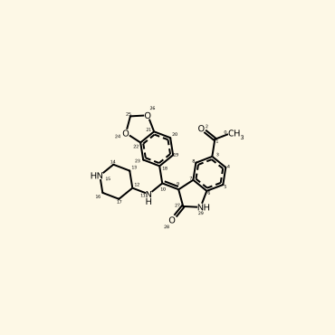 CC(=O)c1ccc2c(c1)/C(=C(/NC1CCNCC1)c1ccc3c(c1)OCO3)C(=O)N2